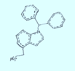 O=C(O)Cc1cccc2c1ccn2C(c1ccccc1)c1ccccc1